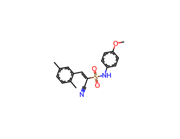 COc1ccc(NS(=O)(=O)C(C#N)=Cc2cc(C)ccc2C)cc1